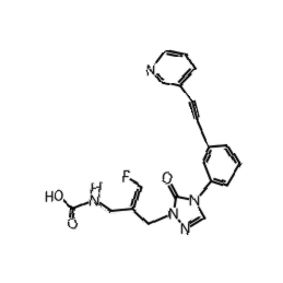 O=C(O)NCC(=CF)Cn1ncn(-c2cccc(C#Cc3cccnc3)c2)c1=O